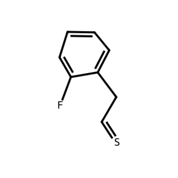 Fc1ccccc1CC=S